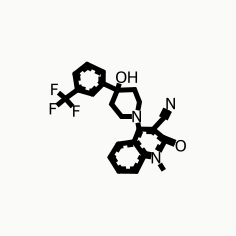 Cn1c(=O)c(C#N)c(N2CCC(O)(c3cccc(C(F)(F)F)c3)CC2)c2ccccc21